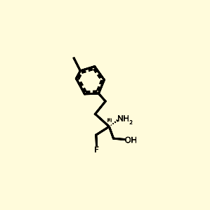 Cc1ccc(CC[C@@](N)(CO)CF)cc1